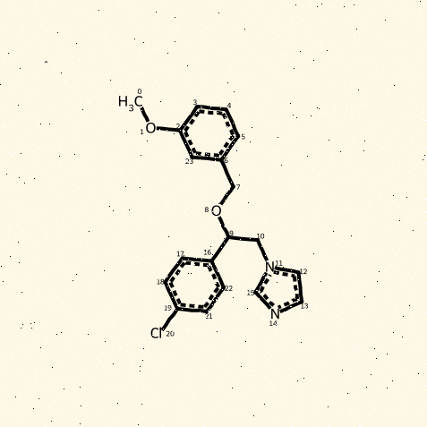 COc1cccc(COC(Cn2ccnc2)c2ccc(Cl)cc2)c1